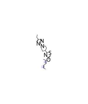 C/C=C\C=C(/C)Oc1csc(C2CCN(c3ncc(CC)cn3)CC2)n1